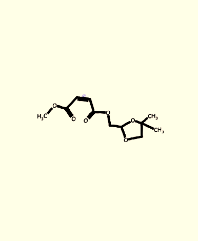 COC(=O)/C=C\C(=O)OCC1OCC(C)(C)O1